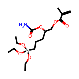 C=C(C)C(=O)OCC(CCC[Si](OCC)(OCC)OCC)OC(N)=O